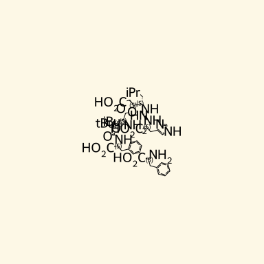 CC(C)(C)OC(=O)N[C@@H](Cc1ccccc1)C(=O)O.CC[C@H](C)[C@H](N)C(=O)O[C@@H](CC(=O)O)[C@H](CC(C)C)NNN[C@@H](Cc1c[nH]cn1)C(=O)O.N[C@@H](Cc1ccccc1)C(=O)O